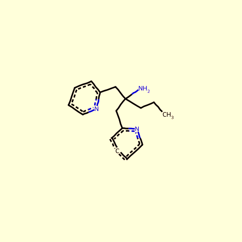 CCCC(N)(Cc1ccccn1)Cc1ccccn1